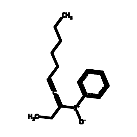 CCCCCC=C=C(CC)[S+]([O-])c1ccccc1